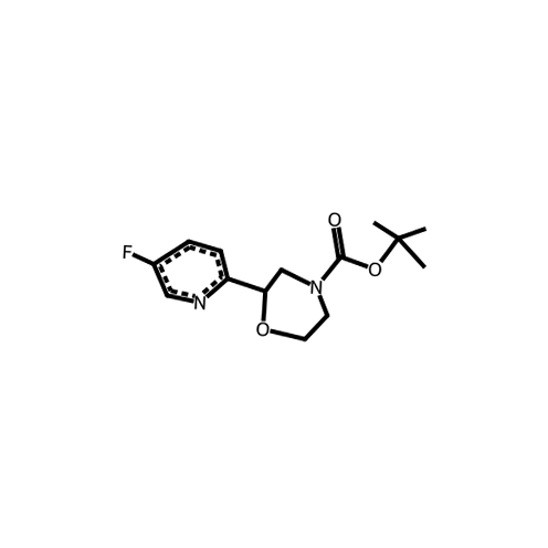 CC(C)(C)OC(=O)N1CCOC(c2ccc(F)cn2)C1